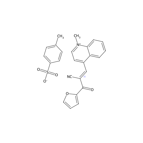 C[n+]1ccc(/C=C(\C#N)C(=O)c2ccco2)c2ccccc21.Cc1ccc(S(=O)(=O)[O-])cc1